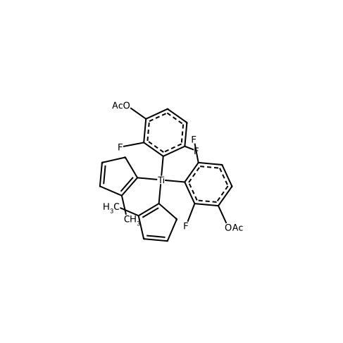 CC(=O)Oc1ccc(F)[c]([Ti]([C]2=C(C)C=CC2)([C]2=C(C)C=CC2)[c]2c(F)ccc(OC(C)=O)c2F)c1F